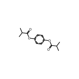 CC(C)C(=O)Oc1ccc(OC(=O)C(C)C)cc1